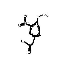 COc1ccc(CC(=O)Cl)cc1[N+](=O)[O-]